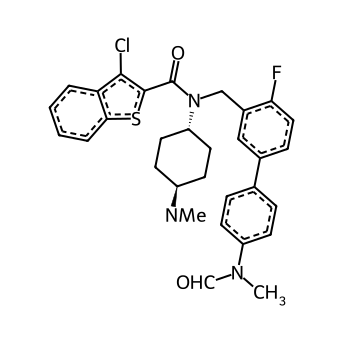 CN[C@H]1CC[C@H](N(Cc2cc(-c3ccc(N(C)C=O)cc3)ccc2F)C(=O)c2sc3ccccc3c2Cl)CC1